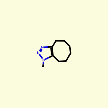 Cn1nnc2c1CCCCCC2